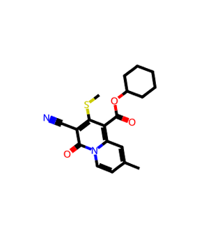 CSc1c(C#N)c(=O)n2ccc(C)cc2c1C(=O)OC1CCCCC1